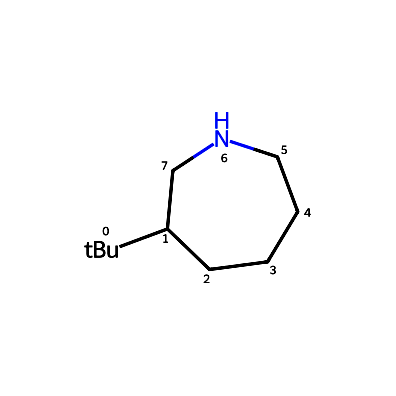 CC(C)(C)C1CCCCNC1